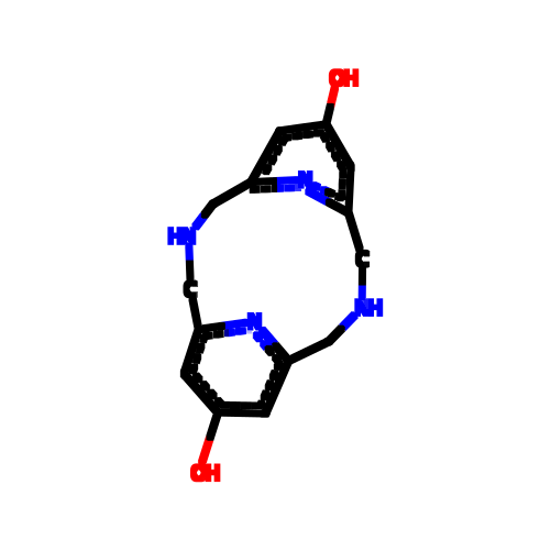 Oc1cc2nc(c1)CNCc1cc(O)cc(n1)CNC2